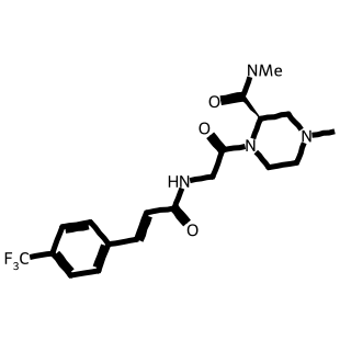 CNC(=O)[C@H]1CN(C)CCN1C(=O)CNC(=O)/C=C/c1ccc(C(F)(F)F)cc1